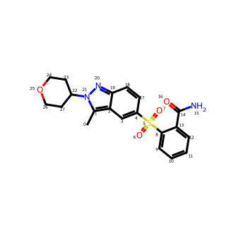 Cc1c2cc(S(=O)(=O)c3ccccc3C(N)=O)ccc2nn1C1CCOCC1